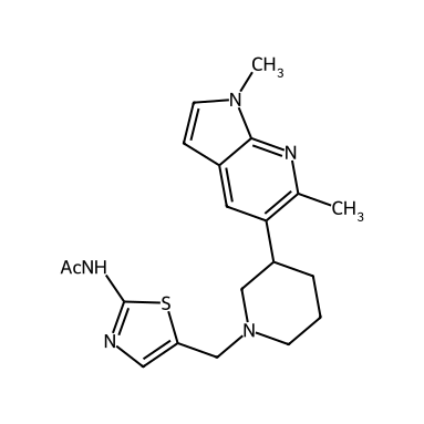 CC(=O)Nc1ncc(CN2CCCC(c3cc4ccn(C)c4nc3C)C2)s1